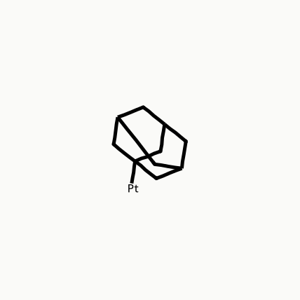 [Pt][C]12CC3CC(CC(C3)C1)C2